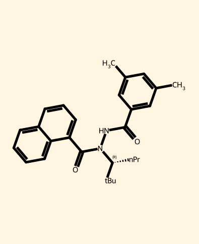 CCC[C@@H](N(NC(=O)c1cc(C)cc(C)c1)C(=O)c1cccc2ccccc12)C(C)(C)C